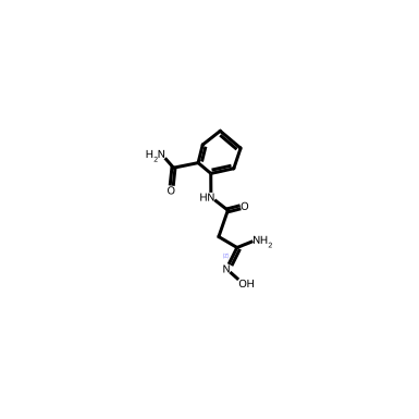 NC(=O)c1ccccc1NC(=O)C/C(N)=N/O